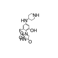 O=C1CN(c2c(O)cc(NC3CCNCC3)cc2F)S(=O)(=O)N1